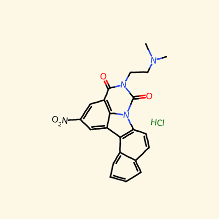 CN(C)CCn1c(=O)c2cc([N+](=O)[O-])cc3c4c5ccccc5ccc4n(c1=O)c23.Cl